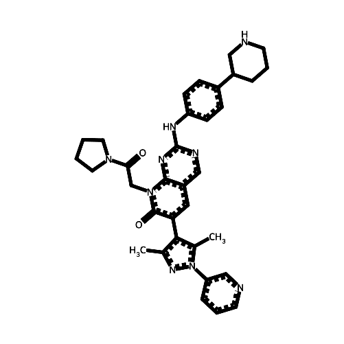 Cc1nn(-c2cccnc2)c(C)c1-c1cc2cnc(Nc3ccc(C4CCCNC4)cc3)nc2n(CC(=O)N2CCCC2)c1=O